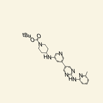 Cc1cccc(Nc2ncc(-c3cncc(NC4CCN(C(=O)OC(C)(C)C)CC4)c3)cn2)n1